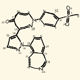 CS(=O)(=O)c1ccc(-n2ccc(=O)c(-c3ccnn3-c3cccc4cnccc34)n2)cc1